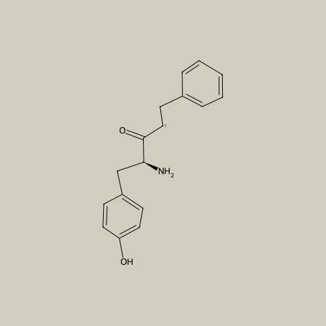 N[C@@H](Cc1ccc(O)cc1)C(=O)[C]Cc1ccccc1